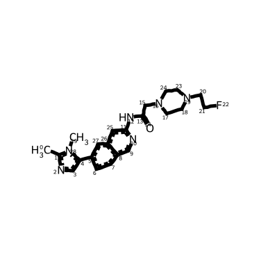 Cc1ncc(-c2ccc3cnc(NC(=O)CN4CCN(CCF)CC4)cc3c2)n1C